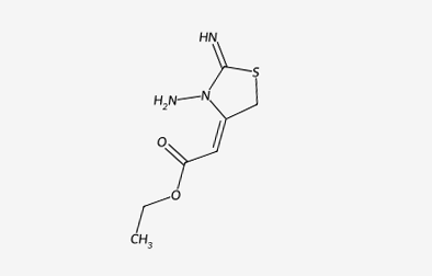 CCOC(=O)C=C1CSC(=N)N1N